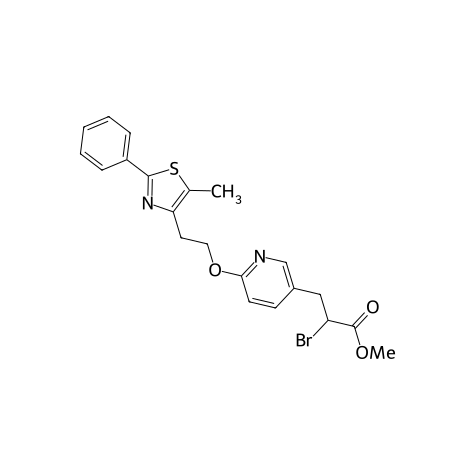 COC(=O)C(Br)Cc1ccc(OCCc2nc(-c3ccccc3)sc2C)nc1